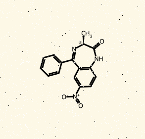 C[C@@H]1N=C(c2ccccc2)c2cc([N+](=O)[O-])ccc2NC1=O